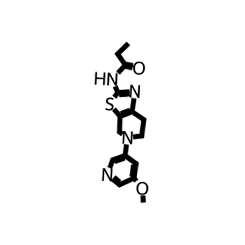 CCC(=O)Nc1nc2c(s1)CN(c1cncc(OC)c1)CC2